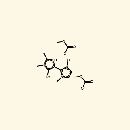 CCc1c(-c2n(CC)cc[n+]2C)[nH]c(C)[n+]1C.COC(=O)[O-].COC(=O)[O-]